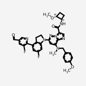 COc1ccc(CN(C)c2cc(N3CCc4c(-c5ncc(C=O)cc5F)cc(F)cc43)nn3c(C(=O)N[C@@H]4CC[C@H]4OC)cnc23)cc1